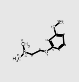 CCSc1cccc(OCCN(C)C)c1